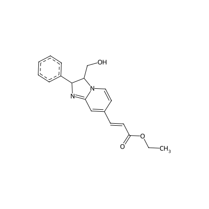 CCOC(=O)/C=C/C1=CC2=NC(c3ccccc3)C(CO)N2C=C1